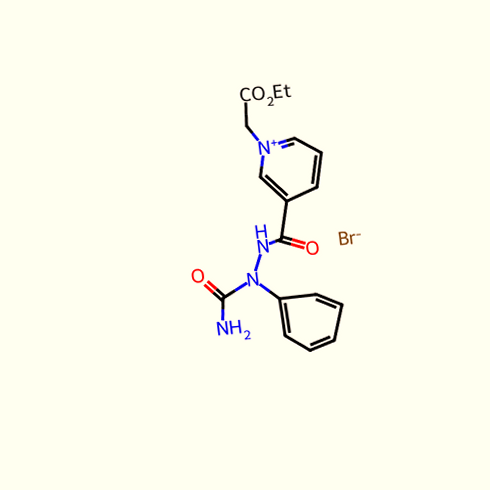 CCOC(=O)C[n+]1cccc(C(=O)NN(C(N)=O)c2ccccc2)c1.[Br-]